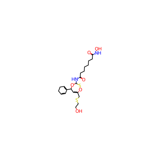 O=C(CCCCCCC(=O)NC1OC(C2=CCCC=C2)C=C(CSCCO)OS1)NO